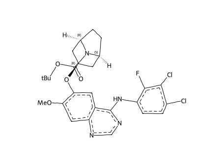 COc1cc2ncnc(Nc3ccc(Cl)c(Cl)c3F)c2cc1O[C@H]1C[C@H]2CC[C@@H](C1)N2C(=O)OC(C)(C)C